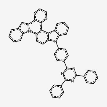 c1ccc(-c2nc(-c3ccccc3)nc(-c3ccc(-n4c5ccccc5c5c6c7ccccc7c7cc8ccccc8n7c6ccc54)cc3)n2)cc1